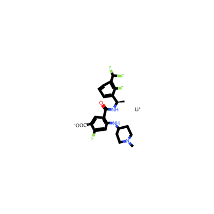 C[C@@H](NC(=O)c1cc(C(=O)[O-])c(F)cc1NC1CCN(C)CC1)c1cccc(C(F)F)c1F.[Li+]